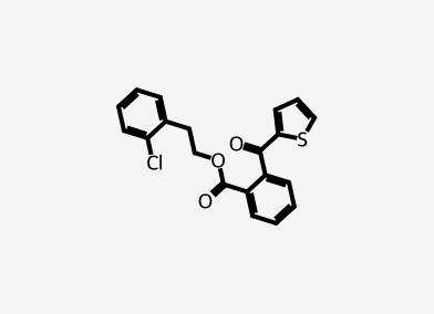 O=C(OCCc1ccccc1Cl)c1ccccc1C(=O)c1cccs1